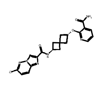 NC(=O)c1cccnc1O[C@H]1CC2(C[C@H](NC(=O)c3cn4nc(Cl)ccc4n3)C2)C1